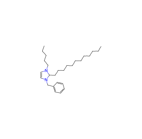 CCCCCCCCCCCCC1N(CCCCC)C=CN1Cc1ccccc1